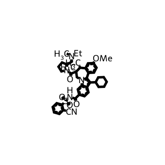 CCN(C)CC1CCCN1C(=O)C1(C)Cn2c(c(C3CCCCC3)c3ccc(C(=O)NS(=O)(=O)c4ccccc4C#N)cc32)-c2ccc(OC)cc2C1C